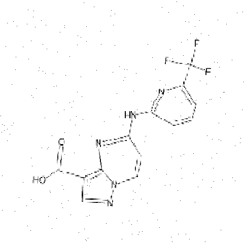 O=C(O)c1cnn2ccc(Nc3cccc(C(F)(F)F)n3)nc12